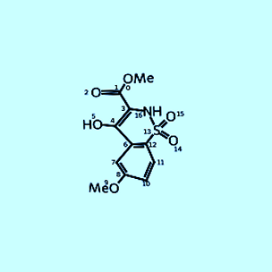 COC(=O)C1=C(O)c2cc(OC)ccc2S(=O)(=O)N1